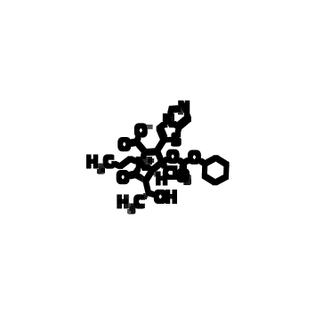 CCC[N+]12C(=O)[C@H]([C@@H](C)O)[C@@H]1[C@@](C)(OC(=O)OC1CCCCC1)C(c1cn3cncc3s1)=C2C(=O)[O-]